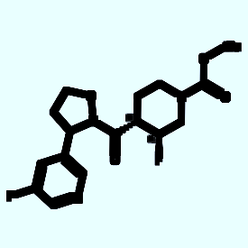 CC(C)(C)OC(=O)N1CC[C@@H](C(=O)N2OCCC2c2cncc(F)c2)[C@H](F)C1